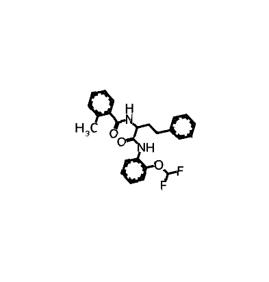 Cc1ccccc1C(=O)NC(CCc1ccccc1)C(=O)Nc1ccccc1OC(F)F